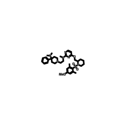 COc1cc(C)c(S(=O)(=O)N2CCCCC2COc2ccnc(N(C)CCN3CCC(c4ccccc4)(N(C)C)CC3)n2)c(C)c1